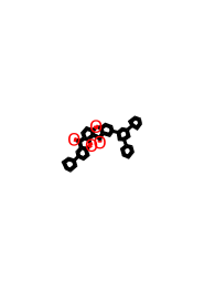 O=c1c2cc(-c3ccccc3)ccc2oc2c1ccc1oc3ccc(-c4cc(-c5ccccc5)cc(-c5ccccc5)c4)cc3c(=O)c12